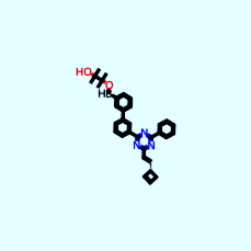 CC(C)(O)C(C)(C)OBc1cccc(-c2cccc(-c3nc(/C=C/[C@H]4C=CC4)nc(-c4ccccc4)n3)c2)c1